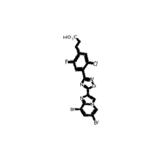 O=C(O)CCc1cc(Cl)c(-c2noc(-c3cn4cc(Br)cc(Br)c4n3)n2)cc1F